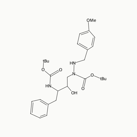 COc1ccc(CNN(CC(O)C(Cc2ccccc2)NC(=O)OC(C)(C)C)C(=O)OC(C)(C)C)cc1